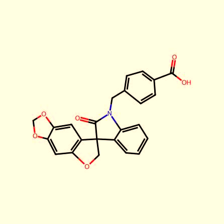 O=C(O)c1ccc(CN2C(=O)C3(COc4cc5c(cc43)OCO5)c3ccccc32)cc1